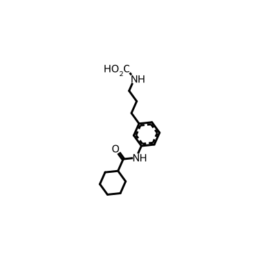 O=C(O)NCCCc1cccc(NC(=O)C2CCCCC2)c1